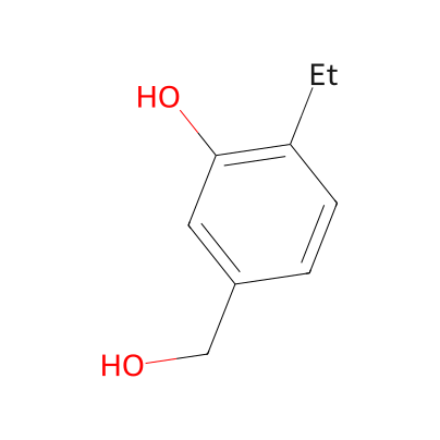 CCc1ccc(CO)cc1O